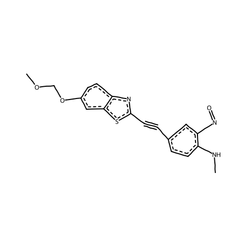 CNc1ccc(C#Cc2nc3ccc(OCOC)cc3s2)cc1N=O